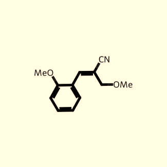 COCC(C#N)=Cc1ccccc1OC